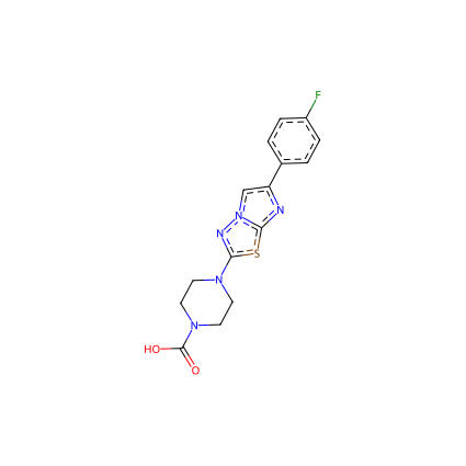 O=C(O)N1CCN(c2nn3cc(-c4ccc(F)cc4)nc3s2)CC1